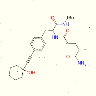 CC(C[CH]C(=O)NC(Cc1ccc(C#CC2(O)CCCCC2)cc1)C(=O)NC(C)(C)C)C(N)=O